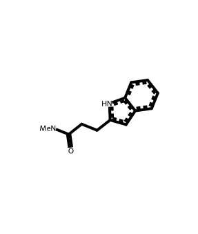 CNC(=O)CCc1cc2ccccc2[nH]1